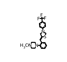 CN1CCN(c2ccccc2C=C2CN(c3ccc(C(F)(F)F)cc3)CS2)CC1